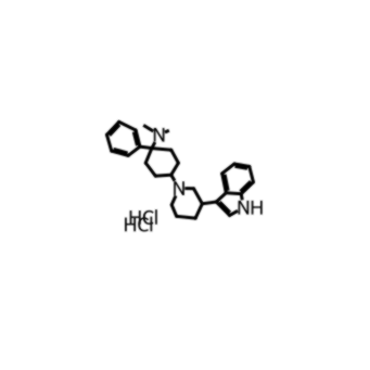 CN(C)C1(c2ccccc2)CCC(N2CCCC(c3c[nH]c4ccccc34)C2)CC1.Cl.Cl